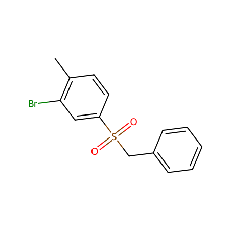 Cc1ccc(S(=O)(=O)Cc2ccccc2)cc1Br